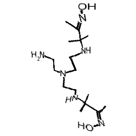 CC(=NO)C(C)(C)NCCN(CCN)CCNC(C)(C)C(C)=NO